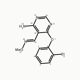 CCc1ccccc1Oc1ncnc(N)c1C=NOC